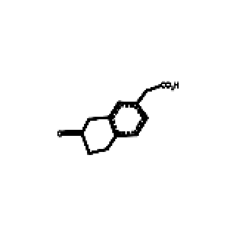 O=C(O)Cc1ccc2c(c1)CC(=O)CC2